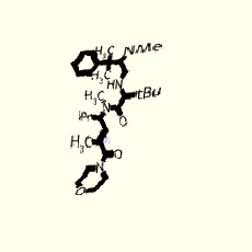 CNC(CNC(C(=O)N(C)C(/C=C(\C)C(=O)N1CCOCC1)C(C)C)C(C)(C)C)C(C)(C)c1ccccc1